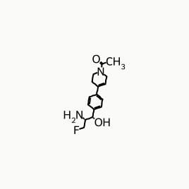 CC(=O)N1CC=C(c2ccc([C@@H](O)[C@H](N)CF)cc2)CC1